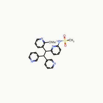 COc1ncccc1C(c1cccc(NS(C)(=O)=O)n1)C(c1cccnc1)c1cccnc1